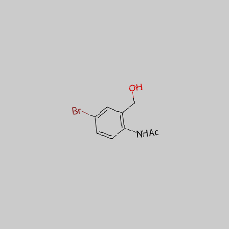 CC(=O)Nc1ccc(Br)cc1CO